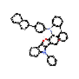 c1ccc(-c2ccccc2N(c2ccc(-c3ccc4ccccc4c3)cc2)c2cccc3c2oc2c4ccccc4n(-c4ccccc4)c32)cc1